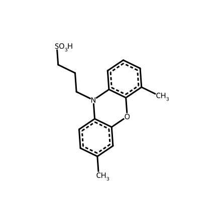 Cc1ccc2c(c1)Oc1c(C)cccc1N2CCCS(=O)(=O)O